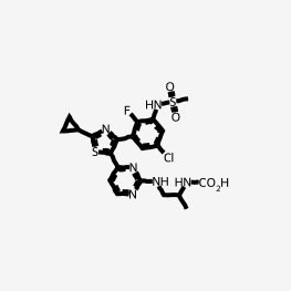 CC(CNc1nccc(-c2sc(C3CC3)nc2-c2cc(Cl)cc(NS(C)(=O)=O)c2F)n1)NC(=O)O